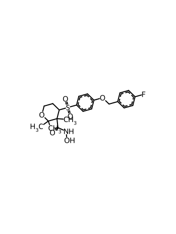 CC1(C)OCCC(S(=O)(=O)c2ccc(OCc3ccc(F)cc3)cc2)C1(C)C(=O)NO